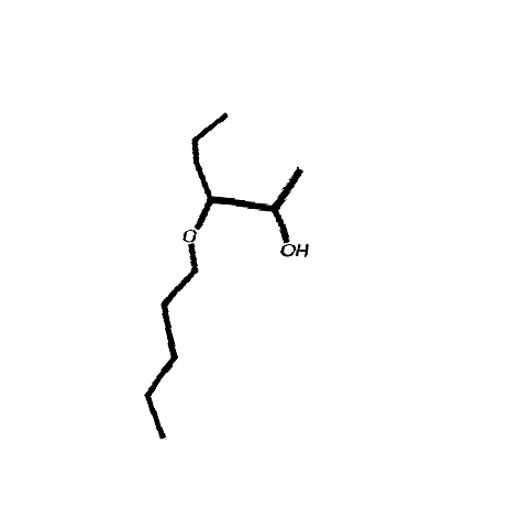 CCCCCOC(CC)C(C)O